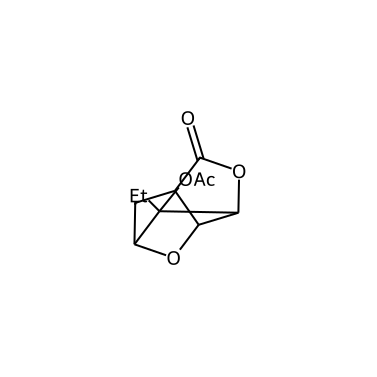 CCC1(OC(C)=O)C2CC3C(=O)OC1C3O2